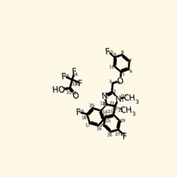 CN1C(COc2cccc(F)c2)=N[C@H](c2cccc(F)c2)[C@]1(C)c1cccc(F)c1.O=C(O)C(F)(F)F